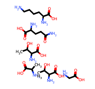 CC(N)C(=O)O.CC(O)C(N)C(=O)O.CC(O)C(N)C(=O)O.NC(=O)CCC(N)C(=O)O.NCC(=O)O.NCCCCC(N)C(=O)O